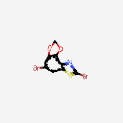 Brc1nc2c3c(c(Br)cc2s1)OCO3